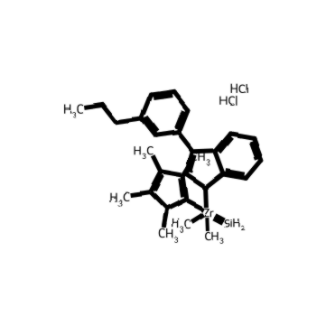 CCCc1cccc(C2=C[CH]([Zr]([CH3])([CH3])(=[SiH2])[C]3=C(C)C(C)=C(C)C3C)c3ccccc32)c1.Cl.Cl